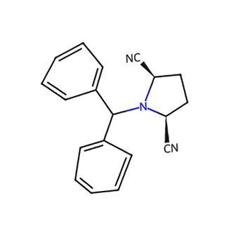 N#C[C@@H]1CC[C@H](C#N)N1C(c1ccccc1)c1ccccc1